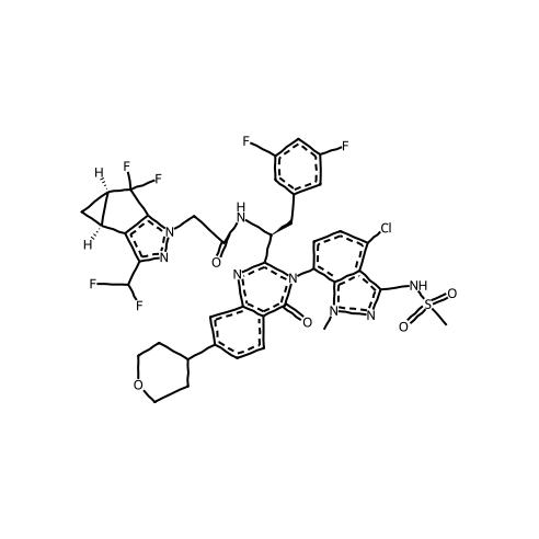 Cn1nc(NS(C)(=O)=O)c2c(Cl)ccc(-n3c([C@H](Cc4cc(F)cc(F)c4)NC(=O)Cn4nc(C(F)F)c5c4C(F)(F)[C@@H]4C[C@H]54)nc4cc(C5CCOCC5)ccc4c3=O)c21